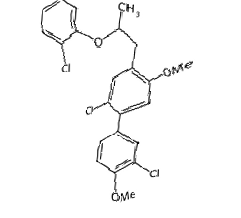 COc1ccc(-c2cc(OC)c(CC(C)Oc3ccccc3Cl)cc2Cl)cc1Cl